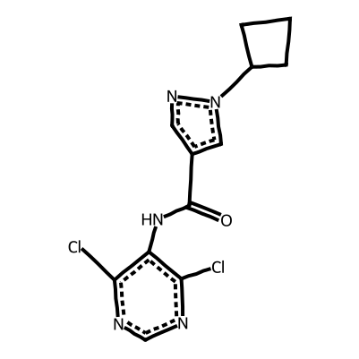 O=C(Nc1c(Cl)ncnc1Cl)c1cnn(C2CCC2)c1